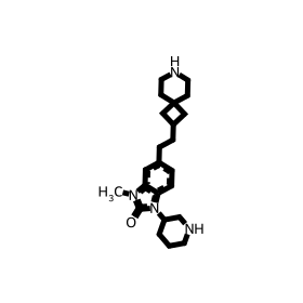 Cn1c(=O)n(C2CCCNC2)c2ccc(CCC3CC4(CCNCC4)C3)cc21